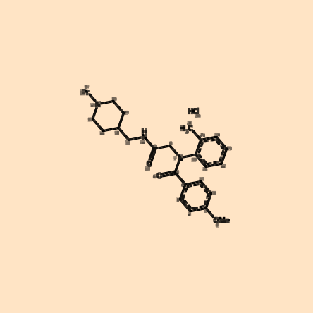 COc1ccc(C(=O)N(CC(=O)NCC2CCN(C(C)C)CC2)c2ccccc2C)cc1.Cl